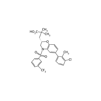 Cc1c(Cl)cccc1-c1ccc2c(c1)N(S(=O)(=O)c1cccc(C(F)(F)F)c1)C[C@H](CC(C)(C)C(=O)O)O2